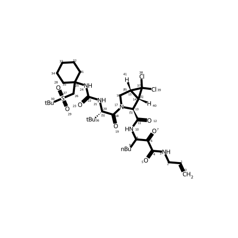 C=CCNC(=O)C(=O)C(CCCC)NC(=O)[C@@H]1[C@@H]2[C@H](CN1C(=O)[C@@H](NC(=O)NC1(CS(=O)(=O)C(C)(C)C)CCCCC1)C(C)(C)C)C2(Cl)Cl